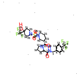 O=C(NCc1ccc(C(F)(F)F)cc1)[C@H]1CCCN1C(=O)[C@H]1CCCN(S(=O)(=O)N2CCC(O)(C(F)(F)F)CC2)C1